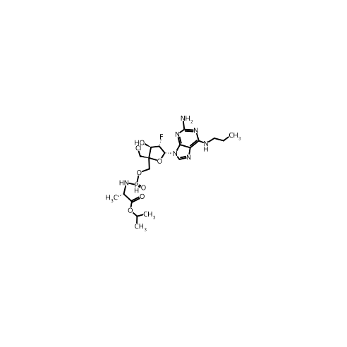 CCCNc1nc(N)nc2c1ncn2[C@@H]1O[C@](CCl)(CO[PH](=O)N[C@@H](C)C(=O)OC(C)C)[C@@H](O)[C@@H]1F